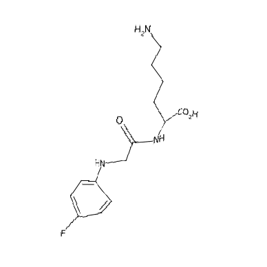 NCCCCC(NC(=O)CNc1ccc(F)cc1)C(=O)O